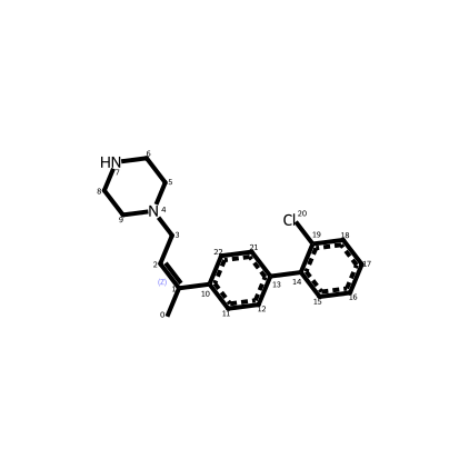 C/C(=C/CN1CCNCC1)c1ccc(-c2ccccc2Cl)cc1